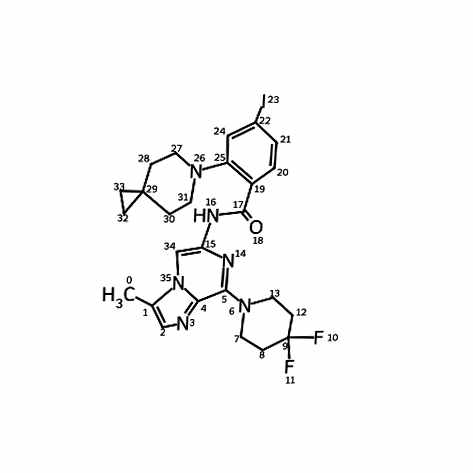 Cc1cnc2c(N3CCC(F)(F)CC3)nc(NC(=O)c3ccc(I)cc3N3CCC4(CC3)CC4)cn12